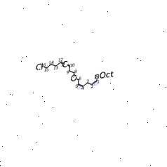 CCCCCCCC/C=C\C/C=C\COCCC=C=CCCCCl